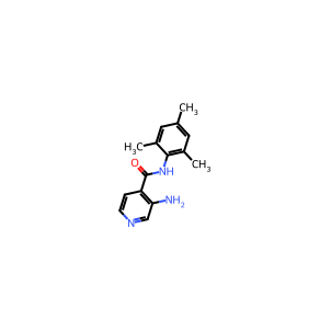 Cc1cc(C)c(NC(=O)c2ccncc2N)c(C)c1